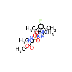 CCOC(=O)c1cc(S(=O)(=O)NC(=O)Nc2c(C(C)C)cc(F)cc2C(C)C)nn1C